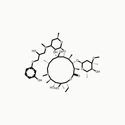 CC[C@H]1OC(=O)[C@H](C)[C@@H](O[C@H]2C[C@@](C)(OC)[C@@H](O)[C@H](C)O2)[C@H](C)[C@@H](O[C@@H]2O[C@H](C)CC(N(C)CC(O)COc3cccc(O)c3)[C@H]2O)[C@](C)(O)C[C@@H](C)CN(C)[C@H](C)[C@@H](O)[C@]1(C)O